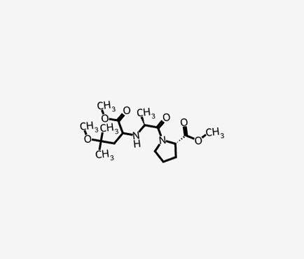 COC(=O)C(CC(C)(C)OC)N[C@@H](C)C(=O)N1CCC[C@H]1C(=O)OC